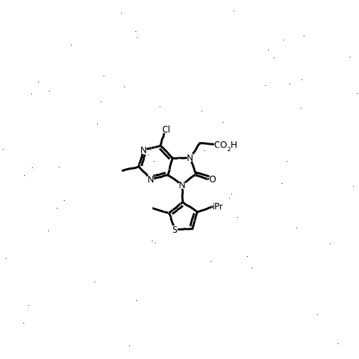 Cc1nc(Cl)c2c(n1)n(-c1c(C(C)C)csc1C)c(=O)n2CC(=O)O